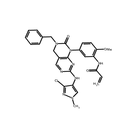 C=CC(=O)Nc1cc(N2C(=O)N(Cc3ccccc3)Cc3cnc(Nc4cn(C)nc4Cl)nc32)ccc1OC